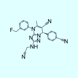 CC1=C(C#N)[C@@H](c2ccc(C#N)cc2)n2nc(NCC#N)nc2N1c1cccc(CF)c1